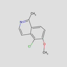 COc1ccc2c(C)nccc2c1Cl